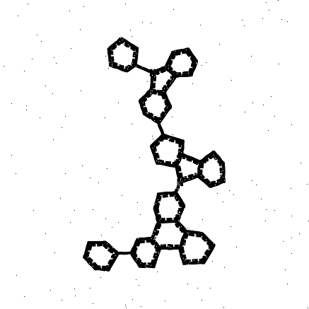 c1ccc(-c2ccc3c4ccccc4c4cc(-n5c6ccccc6c6cc(-c7ccc8c(c7)c7ccccc7n8-c7ccccc7)ccc65)ccc4c3c2)cc1